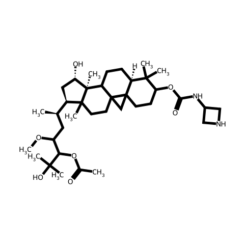 COC(C[C@@H](C)[C@H]1C[C@H](O)[C@@]2(C)C3CC[C@H]4C(C)(C)C(OC(=O)NC5CNC5)CCC45CC35CCC12C)C(OC(C)=O)C(C)(C)O